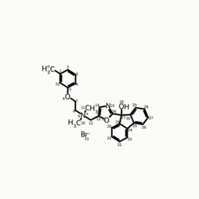 Cc1cccc(OCC[N+](C)(C)Cc2cnc(C3(O)c4ccccc4-c4ccccc43)o2)c1.[Br-]